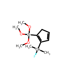 C[O][Zr]([O]C)([O]C)[C]1=[C]([Ge]([CH3])([CH3])[F])C=CC1